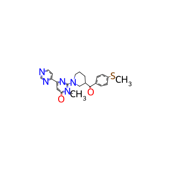 CSc1ccc(C(=O)C2CCCN(c3nc(-c4ccncn4)cc(=O)n3C)C2)cc1